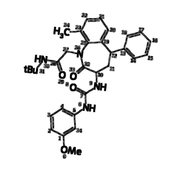 COc1cccc(NC(=O)NC2CC(c3ccccc3)c3cccc(C)c3N(CC(=O)NC(C)(C)C)C2=O)c1